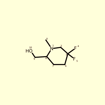 CN1CC(F)(F)CCC1CO